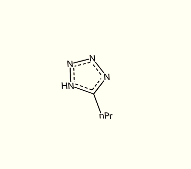 CCCc1nnn[nH]1